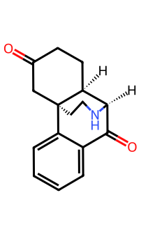 O=C1CC[C@H]2[C@@H]3NCC[C@@]2(C1)c1ccccc1C3=O